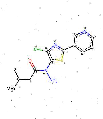 CSC(C)CC(=O)N(N)c1sc(-c2cccnc2)nc1Cl